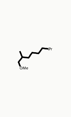 COCC(C)CCCCC(C)C